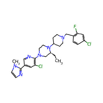 CC[C@H]1CN(c2ncc(-c3nccn3C)cc2Cl)CCN1C1CCN(Cc2ccc(Cl)cc2F)CC1